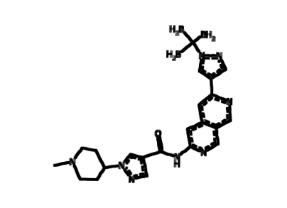 BC(B)(B)n1cc(-c2cc3cc(NC(=O)c4cnn(C5CCN(C)CC5)c4)ncc3cn2)cn1